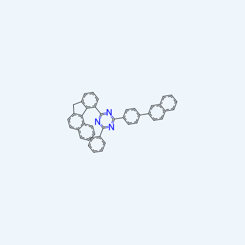 c1ccc(-c2nc(-c3ccc(-c4ccc5ccccc5c4)cc3)nc(-c3cccc4c3-c3c(ccc5ccccc35)C4)n2)cc1